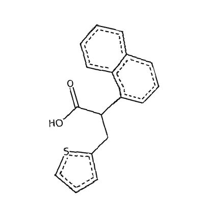 O=C(O)C(Cc1cccs1)c1cccc2ccccc12